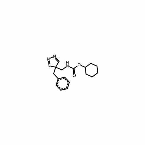 O=C(NCC1(Cc2ccccc2)C=NN=N1)OC1CCCCC1